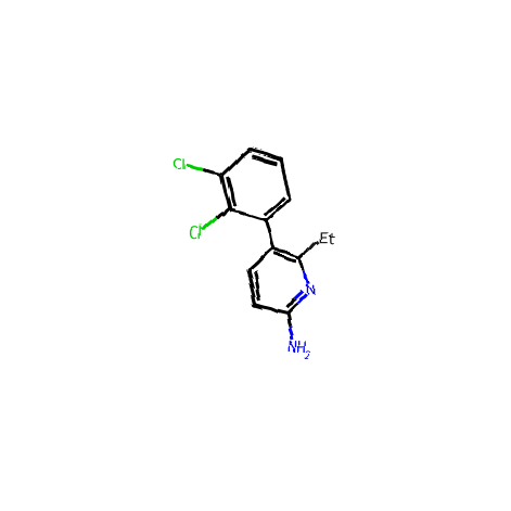 CCc1nc(N)ccc1-c1cccc(Cl)c1Cl